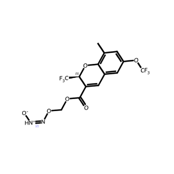 Cc1cc(OC(F)(F)F)cc2c1O[C@H](C(F)(F)F)C(C(=O)OCO/N=[NH+]\[O-])=C2